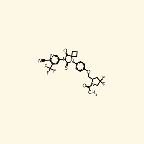 CC(=O)N1CC(F)(F)CC1COc1ccc(N2C(=S)N(c3cnc(C#N)c(C(F)(F)F)c3)C(=O)C23CCC3)cc1